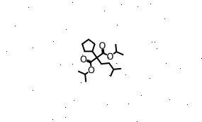 CC(C)CCC(C(=O)OC(C)C)(C(=O)OC(C)C)C1CCCC1